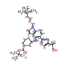 CC(C)(C)OC(=O)N1CCC[C@@H](Nc2c(-c3nc(C(=O)O)co3)cnc3c2ccn3COCC[Si](C)(C)C)C1